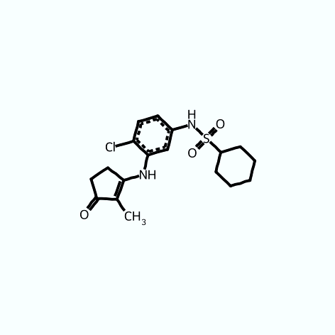 CC1=C(Nc2cc(NS(=O)(=O)C3CCCCC3)ccc2Cl)CCC1=O